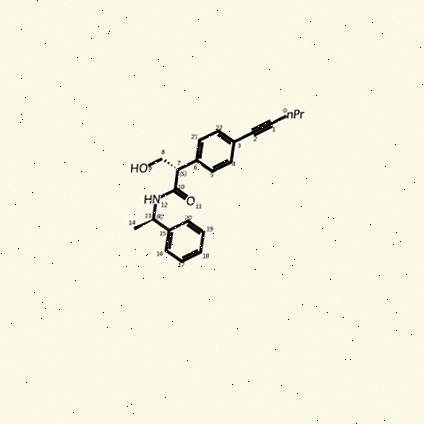 CCCC#Cc1ccc([C@@H](CO)C(=O)N[C@H](C)c2ccccc2)cc1